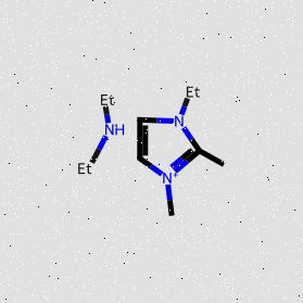 CCNCC.CCn1cc[n+](C)c1C